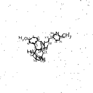 Cc1ccc2c(c1)C1[C@H]3CCC[C@@H](C[C@@H]1N2CCc1ccc(C)nc1)N3C